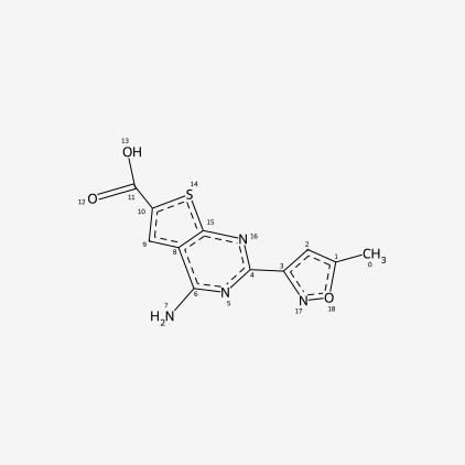 Cc1cc(-c2nc(N)c3cc(C(=O)O)sc3n2)no1